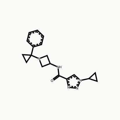 O=C(NC1CN(C2(c3ccccc3)CC2)C1)c1cn(C2CC2)nn1